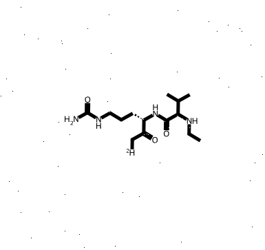 [2H]CC(=O)[C@H](CCCNC(N)=O)NC(=O)C(NCC)C(C)C